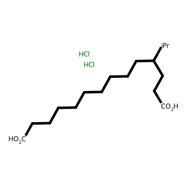 CC(C)C(CCCCCCCCCC(=O)O)CCC(=O)O.Cl.Cl